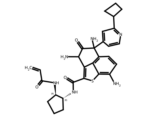 C=CC(=O)N[C@@H]1CCC[C@H]1NC(=O)c1sc2c(N)ccc3c2c1C(N)C(=O)C3(N)c1ccnc(C2CCC2)c1